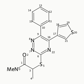 CNC(=O)C(C)Sc1nnc(-c2ccccc2)c(-c2ccsc2)n1